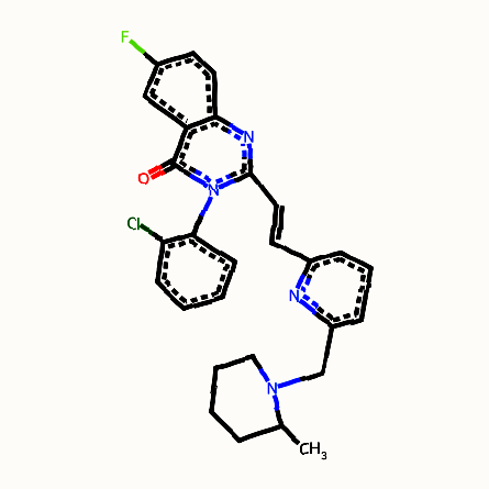 CC1CCCCN1Cc1cccc(C=Cc2nc3ccc(F)cc3c(=O)n2-c2ccccc2Cl)n1